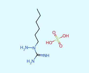 CCCCCCN(N)C(=N)N.O=S(=O)(O)O